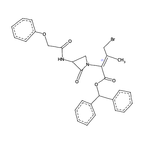 C/C(CBr)=C(\C(=O)OC(c1ccccc1)c1ccccc1)N1CC(NC(=O)COc2ccccc2)C1=O